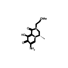 COCCN1C[C@H](C)n2cc(N)c(=O)c(O)c2C1=O